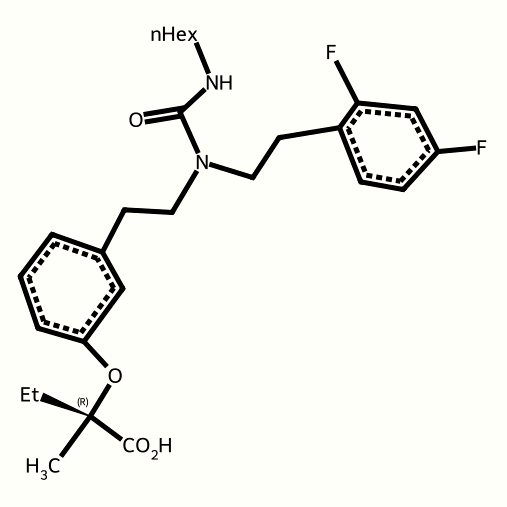 CCCCCCNC(=O)N(CCc1cccc(O[C@](C)(CC)C(=O)O)c1)CCc1ccc(F)cc1F